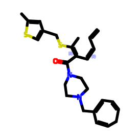 C=C/C=C\C(C(=O)N1CCN(CC2=CC=CCC=C2)CC1)=C(/C)SCc1csc(C)c1